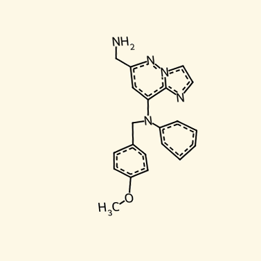 COc1ccc(CN(c2ccccc2)c2cc(CN)nn3ccnc23)cc1